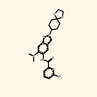 CN(C)c1cc2nn(C3CCC4(CC3)OCCO4)cc2cc1NC(=O)c1cccc(C(F)(F)F)n1